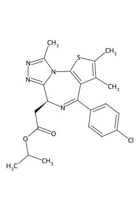 Cc1sc2c(c1C)C(c1ccc(Cl)cc1)=N[C@@H](CC(=O)OC(C)C)c1nnc(C)n1-2